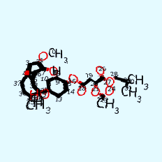 COc1ccc2c3c1O[C@@H]1C[C@@](O)(CC=C1OC(=O)C[C@H](OC(C)=O)C(=O)OCC(C)C)[C@@H](C2)C(C)CCC3